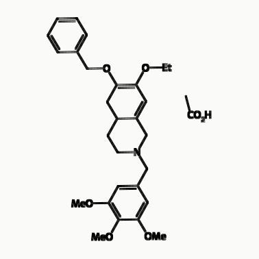 CC(=O)O.CCOC1=C(OCc2ccccc2)CC2CCN(Cc3cc(OC)c(OC)c(OC)c3)CC2=C1